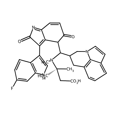 CN(C(C1Cc2cccc3ccn(c23)C1)C1C(=O)C=CC2=NC(=O)C(c3c[nH]c4cc(F)ccc34)=C21)[C@@](C)(CC(=O)O)C(=O)O